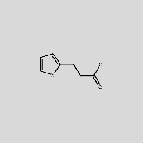 O=C(Cl)CCc1cccs1